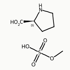 COS(=O)(=O)O.O=C(O)[C@@H]1CCCN1